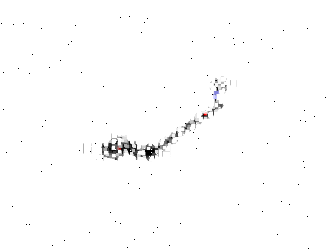 CN(C/C=C/C(=O)OC(C)(C)C)CCOCCOCCOCCOCCOCCOCCNS(=O)(=O)c1ccc(Nc2ncc(Br)c(Nc3cccc(F)c3C(N)=O)n2)cc1